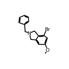 COc1cc(Br)c2c(c1)CN(Cc1ccccc1)C2